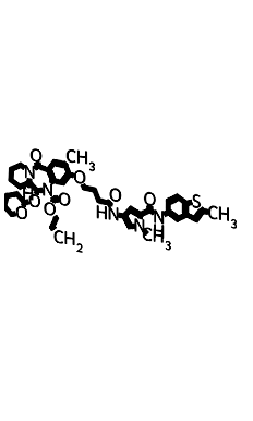 C=CCOC(=O)N1c2cc(OCCCC(=O)Nc3cc(C(=O)Nc4ccc5sc(C)cc5c4)n(C)c3)c(C)cc2C(=O)N2CCCC[C@H]2C1OC1CCCCO1